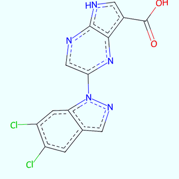 O=C(O)c1c[nH]c2ncc(-n3ncc4cc(Cl)c(Cl)cc43)nc12